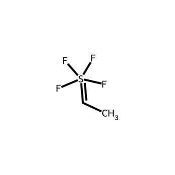 CC=S(F)(F)(F)F